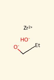 CCC[O-].[OH-].[Zr+2]